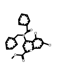 COC(=O)c1cc(N(Cc2ccccc2)C(=O)c2ccccc2)c2c(Cl)cc(Cl)cc2c1